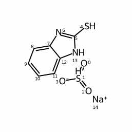 O=[SH](=O)[O-].Sc1nc2ccccc2[nH]1.[Na+]